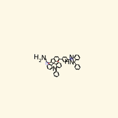 N=C(c1ccccc1)c1ccccc1/N=C/c1ccc(-c2ccc3c(c2)C2(C(/C=C\CN)=C3)c3ccccc3N(c3ccccc3)c3ccccc32)cc1